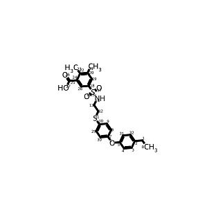 CCc1ccc(Oc2ccc(SCCNS(=O)(=O)c3cc(C)c(C)c(C(=O)O)c3)cc2)cc1